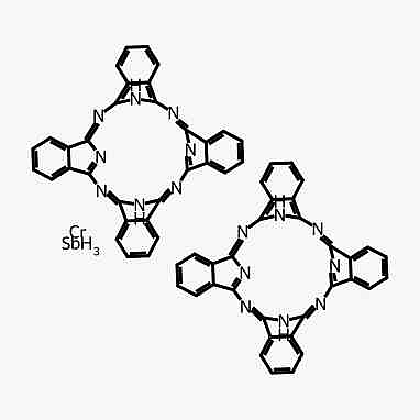 [Cr].[SbH3].c1ccc2c(c1)-c1nc-2nc2[nH]c(nc3nc(nc4[nH]c(n1)c1ccccc41)-c1ccccc1-3)c1ccccc21.c1ccc2c(c1)-c1nc-2nc2[nH]c(nc3nc(nc4[nH]c(n1)c1ccccc41)-c1ccccc1-3)c1ccccc21